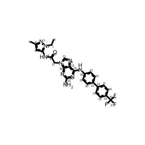 CCn1nc(C)cc1NC(=O)Cn1cnc2c(Nc3ccc(-c4ccc(C(F)(F)F)cc4)cc3)nc(N)nc21